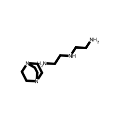 C1CN2CCN1CC2.NCCNCCN